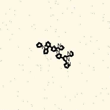 c1ccc(-n2c3ccccc3c3c(-c4ccc5c(c4)c4ncccc4n5-c4cccc(-c5cc(-c6ccccn6)nc(-c6ccccn6)c5)c4)cccc32)cc1